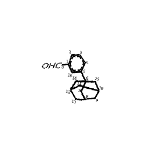 O=Cc1cccc(C23CC4CC(CC(C4)C2)C3)c1